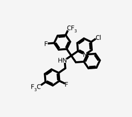 Fc1cc(C(F)(F)F)cc(C(Cc2ccccc2)(NCc2ccc(C(F)(F)F)cc2F)c2ccc(Cl)cn2)c1